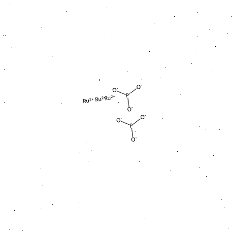 [O-]P([O-])[O-].[O-]P([O-])[O-].[Ru+2].[Ru+2].[Ru+2]